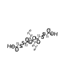 CCCCC(CCCC)(OC(=O)CSSCC(=O)O)OC(=O)CSSCC(=O)O